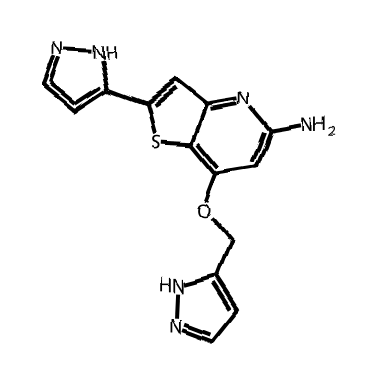 Nc1cc(OCc2ccn[nH]2)c2sc(C3=C=C=NN3)cc2n1